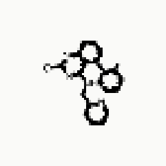 Fc1ccccc1-c1cccc2nc(Cl)nc(NCc3ccccn3)c12